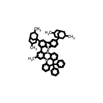 Cc1cc2c3c(c1)N1c4ccccc4C(c4ccccc4)(c4ccccc4)c4cccc(c41)B3n1c3ccc(C45CC(C)CC(CC(C)C4)C5)cc3c3cc(C45CC(C)CC(CC(C)C4)C5)cc-2c31